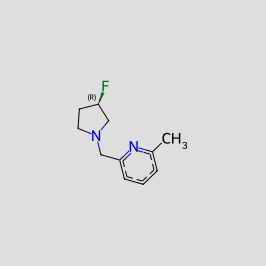 Cc1cccc(CN2CC[C@@H](F)C2)n1